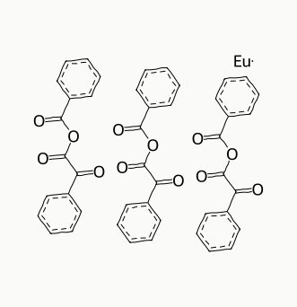 O=C(OC(=O)c1ccccc1)C(=O)c1ccccc1.O=C(OC(=O)c1ccccc1)C(=O)c1ccccc1.O=C(OC(=O)c1ccccc1)C(=O)c1ccccc1.[Eu]